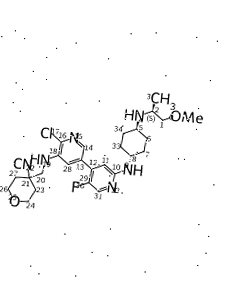 COC[C@H](C)N[C@H]1CC[C@H](Nc2cc(-c3cnc(Cl)c(NCC4(C#N)CCOCC4)c3)c(F)cn2)CC1